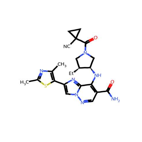 CC[C@H]1CN(C(=O)C2(C#N)CC2)C[C@H]1Nc1c(C(N)=O)cnn2cc(-c3sc(C)nc3C)nc12